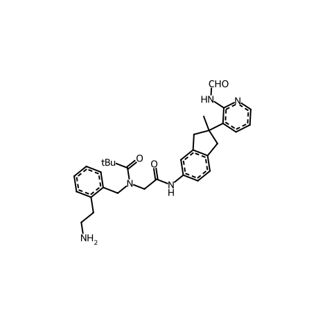 CC(C)(C)C(=O)N(CC(=O)Nc1ccc2c(c1)CC(C)(c1cccnc1NC=O)C2)Cc1ccccc1CCN